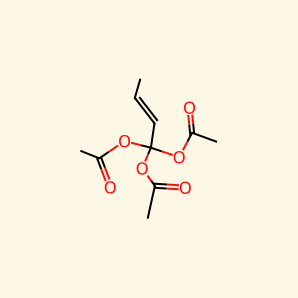 CC=CC(OC(C)=O)(OC(C)=O)OC(C)=O